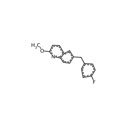 COc1ccc2cc(Cc3ccc(F)cc3)ccc2n1